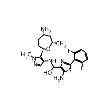 C[C@@H]1C[C@@H](N)CC[C@H](c2c(NC(O)c3nc(-c4c(F)cccc4F)sc3N)cnn2C)O1